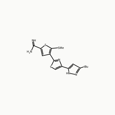 CSc1sc(C(=N)N)cc1-c1nc(-c2cc(C(C)(C)C)n[nH]2)cs1